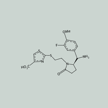 COc1ccc(C(N)[C@H]2CCC(=O)N2CCSc2nc(C(=O)O)cs2)cc1F